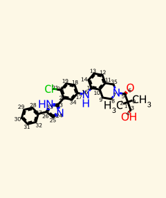 CC(C)(CO)C(=O)N1CCc2c(cccc2Nc2ccc(Cl)c(-c3ncc(-c4ccccc4)[nH]3)c2)C1